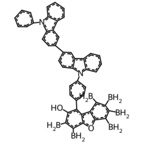 Bc1c(B)c(B)c2c(oc3c(B)c(B)c(O)c(-c4ccc(-n5c6ccccc6c6cc(-c7ccc8c(c7)c7ccccc7n8-c7ccccc7)ccc65)cc4)c32)c1B